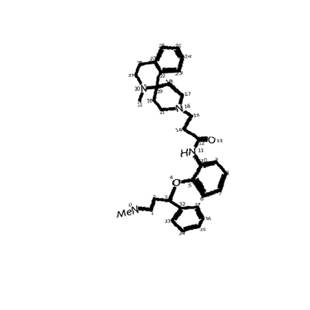 CNCCC(Oc1ccccc1NC(=O)CCN1CCC2(CC1)c1ccccc1CCN2C)c1ccccc1